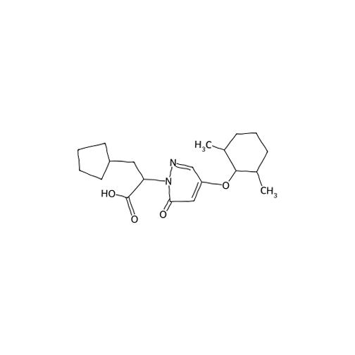 CC1CCCC(C)C1Oc1cnn(C(CC2CCCC2)C(=O)O)c(=O)c1